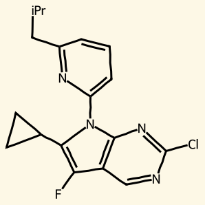 CC(C)Cc1cccc(-n2c(C3CC3)c(F)c3cnc(Cl)nc32)n1